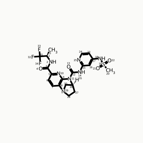 C[C@@H](NC(=O)c1ccc2c(n1)N(C(=O)Nc1cc(NS(C)(=O)=O)ccn1)[C@H]1CCN2C1)C(F)(F)F